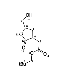 CC(C)(C)COC(=O)CC1CC(CO)OC1=O